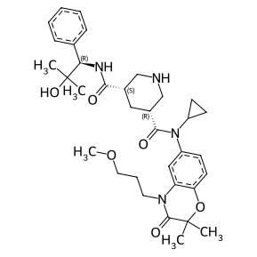 COCCCN1C(=O)C(C)(C)Oc2ccc(N(C(=O)[C@H]3CNC[C@@H](C(=O)N[C@H](c4ccccc4)C(C)(C)O)C3)C3CC3)cc21